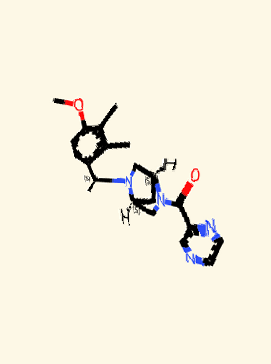 COc1ccc([C@H](C)N2C[C@@H]3C[C@H]2CN3C(=O)c2cnccn2)c(C)c1C